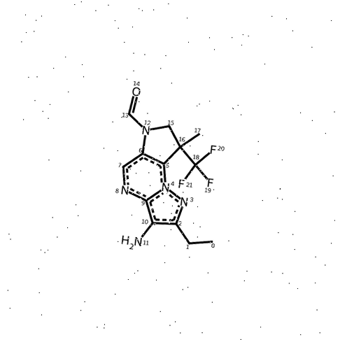 CCc1nn2c3c(cnc2c1N)N(C=O)CC3(C)C(F)(F)F